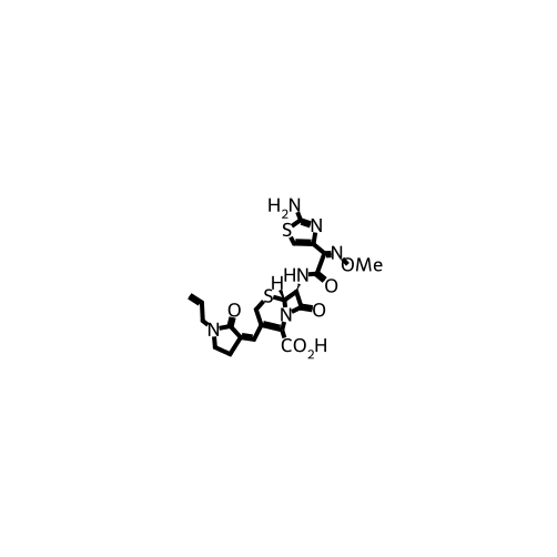 C=CCN1CCC(=CC2=C(C(=O)O)N3C(=O)[C@@H](NC(=O)/C(=N\OC)c4csc(N)n4)[C@H]3SC2)C1=O